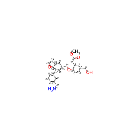 COC(=O)Cc1cc(CO)ccc1OCc1cc(-c2cccc(CN)c2)c2occc2c1